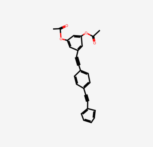 CC(=O)Oc1cc(C#Cc2ccc(C#Cc3ccccc3)cc2)cc(OC(C)=O)c1